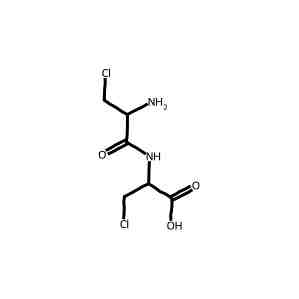 NC(CCl)C(=O)NC(CCl)C(=O)O